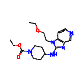 CCOCCn1c(NC2CCN(C(=O)OCC)CC2)nc2cnccc21